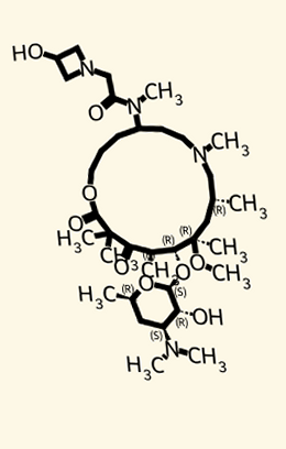 CO[C@]1(C)C[C@@H](C)CN(C)CCC(N(C)C(=O)CN2CC(O)C2)CCCOC(=O)C(C)(C)C(=O)[C@H](C)[C@H]1O[C@@H]1O[C@H](C)C[C@H](N(C)C)[C@H]1O